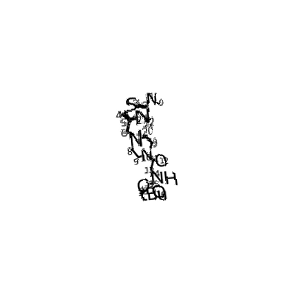 CN=c1scc(CN2CCN(C(=O)CNC(=O)OC(C)(C)C)CC2)n1C